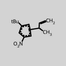 C=C[C](C)c1cc([N+](=O)[O-])cc(C(C)(C)C)c1